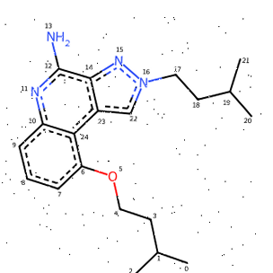 CC(C)CCOc1cccc2nc(N)c3nn(CCC(C)C)cc3c12